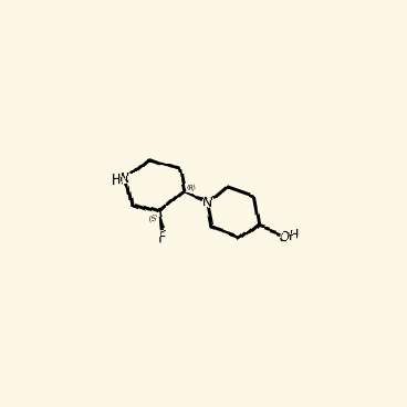 OC1CCN([C@@H]2CCNC[C@@H]2F)CC1